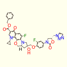 O=C(OCc1ccccc1)c1cn(C2CC2)c2c3c(c(F)cc2c1=O)N1C[C@@](O)(COc2ccc(N4C[C@H](Cn5ccnn5)OC4=O)cc2F)C[C@H]1CO3